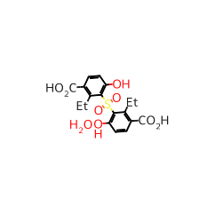 CCc1c(C(=O)O)ccc(O)c1S(=O)(=O)c1c(O)ccc(C(=O)O)c1CC.O